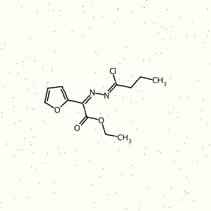 CCCC(Cl)=NN=C(C(=O)OCC)c1ccco1